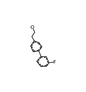 [O]CCc1ccc(-c2cccc(F)c2)cc1